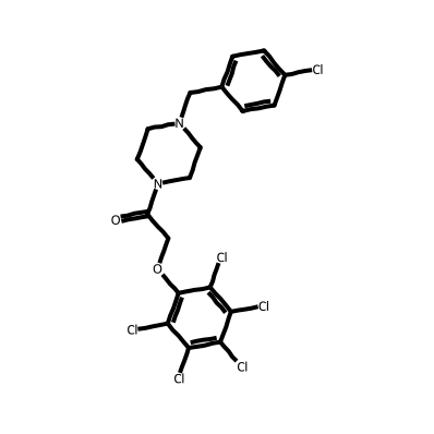 O=C(COc1c(Cl)c(Cl)c(Cl)c(Cl)c1Cl)N1CCN(Cc2ccc(Cl)cc2)CC1